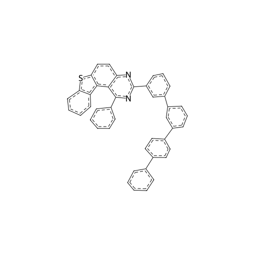 c1ccc(-c2ccc(-c3cccc(-c4cccc(-c5nc(-c6ccccc6)c6c(ccc7sc8ccccc8c76)n5)c4)c3)cc2)cc1